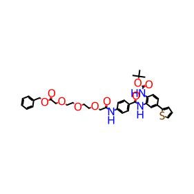 CC(C)(C)OC(=O)Nc1ccc(-c2cccs2)cc1NC(=O)c1ccc(NC(=O)COCCOCCOCC(=O)OCc2ccccc2)cc1